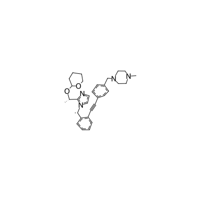 C[C@H](OC1CCCCO1)c1nccn1[CH]c1ccccc1C#Cc1ccc(CN2CCN(C)CC2)cc1